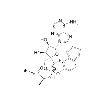 CC(C)OC(=O)[C@H](C)N[P@](=O)(OC[C@@]1(C(F)F)O[C@@H](n2cnc3c(N)ncnc32)[C@H](O)[C@@H]1O)Oc1ccc2ccccc2c1